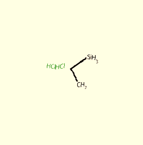 CC[SiH3].Cl.Cl